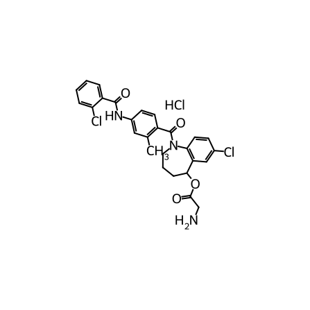 Cc1cc(NC(=O)c2ccccc2Cl)ccc1C(=O)N1CCCC(OC(=O)CN)c2cc(Cl)ccc21.Cl